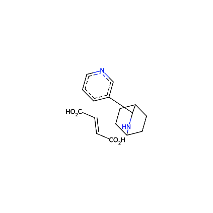 O=C(O)/C=C/C(=O)O.c1cncc(C2NC3CCC2CC3)c1